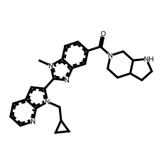 Cn1c(-c2cc3cccnc3n2CC2CC2)nc2cc(C(=O)N3CCC4CCNC4C3)ccc21